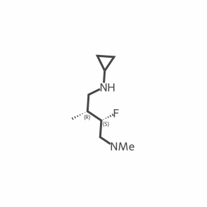 CNC[C@@H](F)[C@H](C)CNC1CC1